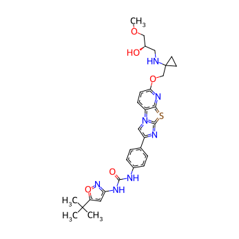 COC[C@H](O)CNC1(COc2ccc3c(n2)sc2nc(-c4ccc(NC(=O)Nc5cc(C(C)(C)C)on5)cc4)cn23)CC1